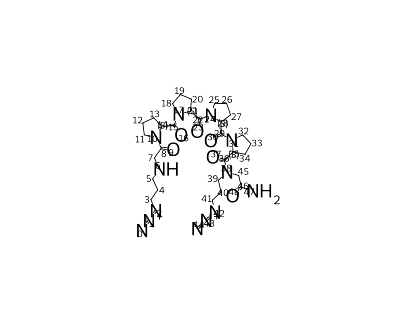 [N-]=[N+]=NCCCNCC(=O)N1CCC[C@H]1C(=O)N1CCC[C@H]1C(=O)N1CCC[C@H]1C(=O)N1CCC[C@H]1C(=O)N(CCCN=[N+]=[N-])CC(N)=O